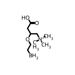 BCCOC(CC(=O)O)C[N+](C)(C)C